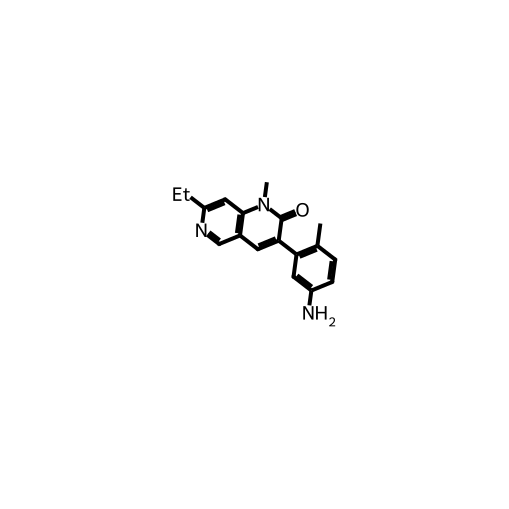 CCc1cc2c(cn1)cc(-c1cc(N)ccc1C)c(=O)n2C